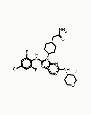 NC(=O)C[C@H]1CC[C@@H](n2c(Nc3c(F)cc(Cl)cc3F)nc3cnc(N[C@H]4CCOC[C@H]4F)nc32)CC1